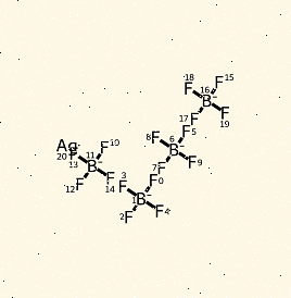 F[B-](F)(F)F.F[B-](F)(F)F.F[B-](F)(F)F.F[B-](F)(F)F.[Ag]